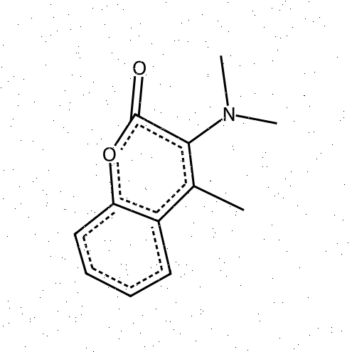 Cc1c(N(C)C)c(=O)oc2ccccc12